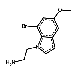 COc1cc(Br)c2c(ccn2CCN)c1